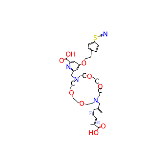 C=C(/C=C\C=C(/C)C(=O)O)CN1CCOCCOCCN(Cc2cc(OCCc3ccc(SC#N)cc3)cc(C(=O)O)n2)CCOCCOCC1